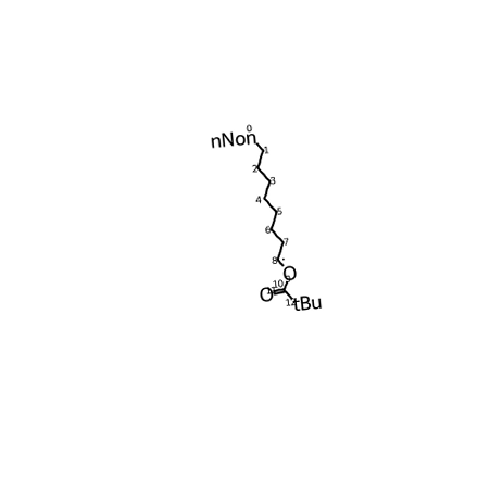 CCCCCCCCCCCCCCCC[CH]OC(=O)C(C)(C)C